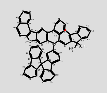 CC1(C)C2=C(CCC(N(c3ccc4c(c3)C3(c5ccccc5-c5ccccc53)c3ccccc3-4)c3cc4oc5ccc6ccccc6c5c4cc3-c3ccccc3)=C2)c2ccccc21